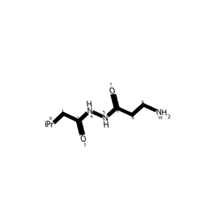 CC(C)CC(=O)NNC(=O)CCN